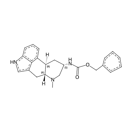 CN1C[C@@H](NC(=O)OCc2ccccc2)C[C@@H]2c3cccc4[nH]cc(c34)C[C@H]21